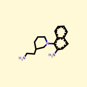 NCCC1CCCN(c2c(N)ccc3ccccc23)C1